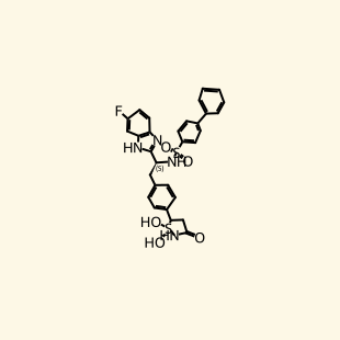 O=C1CC(c2ccc(C[C@H](NS(=O)(=O)c3ccc(-c4ccccc4)cc3)c3nc4ccc(F)cc4[nH]3)cc2)S(O)(O)N1